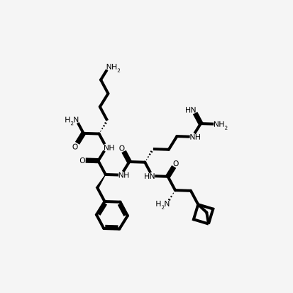 N=C(N)NCCC[C@H](NC(=O)[C@@H](N)CC12CC(C1)C2)C(=O)N[C@@H](Cc1ccccc1)C(=O)N[C@@H](CCCCN)C(N)=O